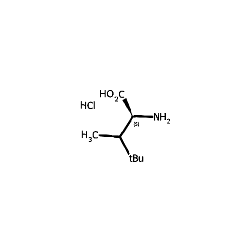 CC([C@H](N)C(=O)O)C(C)(C)C.Cl